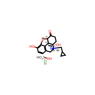 Cl.O=C1CC[C@@]2(O)[C@H]3Cc4ccc(O)c5c4[C@@]2(CCN3CC2CC2)[C@H]1O5.O=S(=O)(O)O